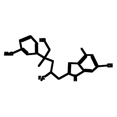 COc1cccc(C(C)(CO)CC(Cc2cc3c(C)cc(C#N)cc3[nH]2)C(F)(F)F)c1